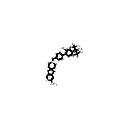 Cc1cc2c(cn1)CC1(CCN(Cc3ccc(-c4ccc(C(C)(C(F)(F)F)C(F)(F)F)cc4F)cc3)CC1)C2